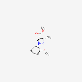 COC(=O)c1cn(-c2ccccc2OC)nc1C